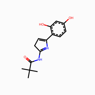 CC(C)(C)C(=O)NC1=NC(c2ccc(O)cc2O)=CC1